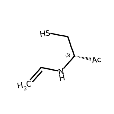 C=CN[C@H](CS)C(C)=O